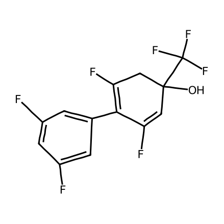 OC1(C(F)(F)F)C=C(F)C(c2cc(F)cc(F)c2)=C(F)C1